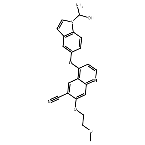 COCCOc1cc2nccc(Oc3ccc4c(ccn4C(N)O)c3)c2cc1C#N